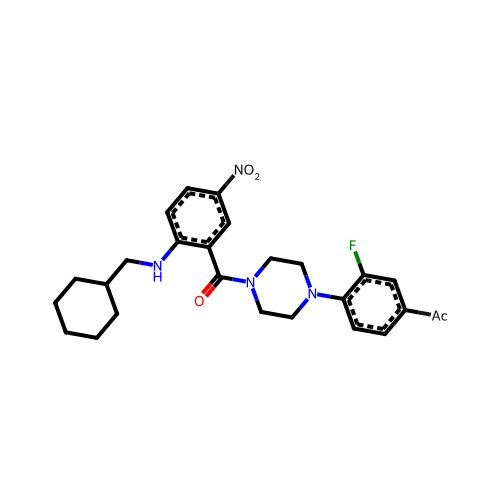 CC(=O)c1ccc(N2CCN(C(=O)c3cc([N+](=O)[O-])ccc3NCC3CCCCC3)CC2)c(F)c1